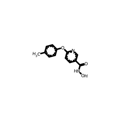 Cc1ccc(Oc2ccc(C(=O)NO)cn2)cc1